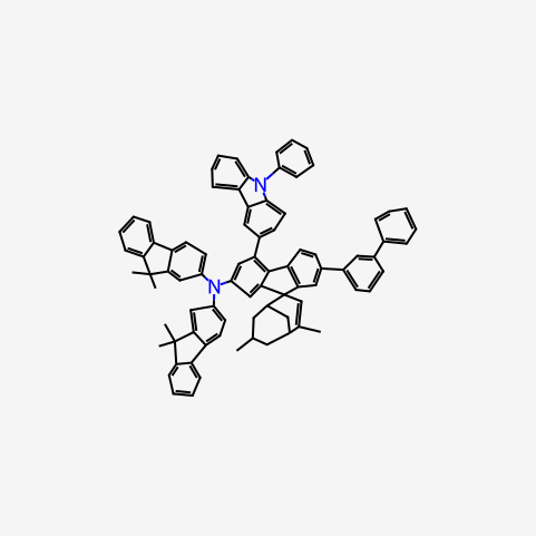 CC1=CC2(c3cc(-c4cccc(-c5ccccc5)c4)ccc3-c3c(-c4ccc5c(c4)c4ccccc4n5-c4ccccc4)cc(N(c4ccc5c(c4)C(C)(C)c4ccccc4-5)c4ccc5c(c4)C(C)(C)c4ccccc4-5)cc32)C2CC(C)CC1C2